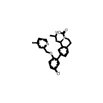 Cc1ccnc(COc2ccc(Cl)cc2-c2ccc3c(c2)C(CC(C)C)N(C(=O)O)CC3)c1